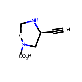 C#C[C@H]1CN(C(=O)O)CCN1